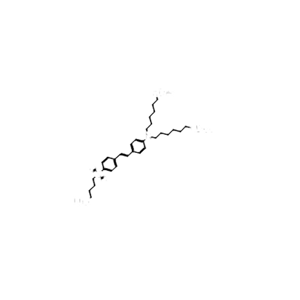 CCCCCCCCCCCCCCCCN(CCCCCCCCCCCCCCCC)c1ccc(C=Cc2ccc(S(=O)(=O)CCCCO)cc2)cc1